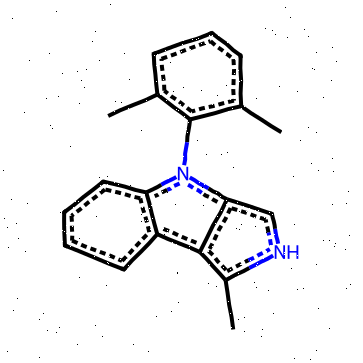 Cc1cccc(C)c1-n1c2ccccc2c2c(C)[nH]cc21